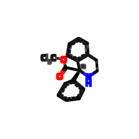 O=C(OC(Cl)(Cl)Cl)[C@@]1(c2ccccc2)NCCc2ccccc21